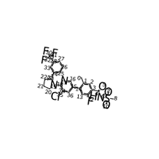 Cc1cc(C(=O)NS(C)(=O)=O)c(F)cc1-c1cnc(N2CCC[C@H]2c2cccc(C(F)(F)F)c2)c(Cl)c1